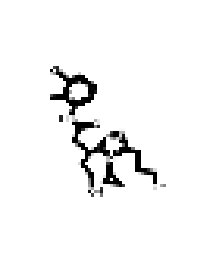 Cc1c(Cl)cccc1NC(=O)CC(CCO)c1nnc(CCCC(C)C)n1C1CC1